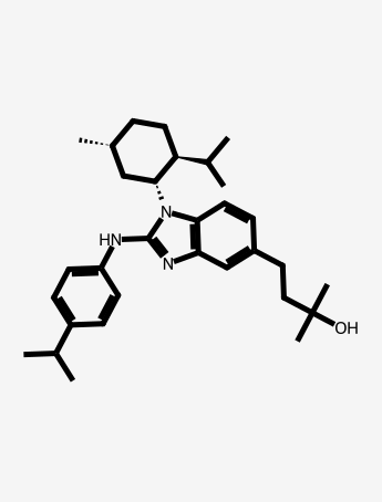 CC(C)c1ccc(Nc2nc3cc(CCC(C)(C)O)ccc3n2[C@@H]2C[C@H](C)CC[C@H]2C(C)C)cc1